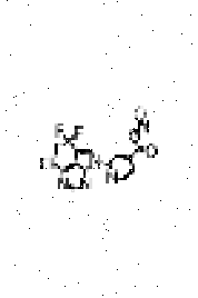 O=NOC(=O)c1ccnc(-n2cc(C(F)(F)F)c3c(Cl)ncnc32)c1